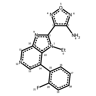 CCn1c(-c2nonc2N)nc2cncc(-c3ccccc3F)c21